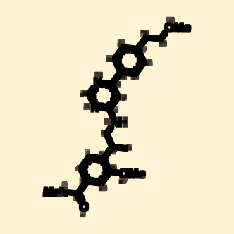 CNC(=O)c1ccc(C(C)CNc2cc(-c3ccc(CCOC)cc3)ncn2)c(OC)c1